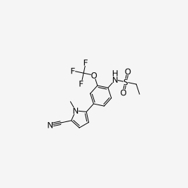 CCS(=O)(=O)Nc1ccc(-c2ccc(C#N)n2C)cc1OC(F)(F)F